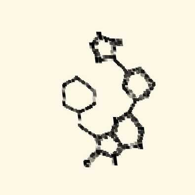 O=c1[nH]c2ncc(-c3cccc(-c4nnn[nH]4)c3)nc2n1CC1CCCCC1